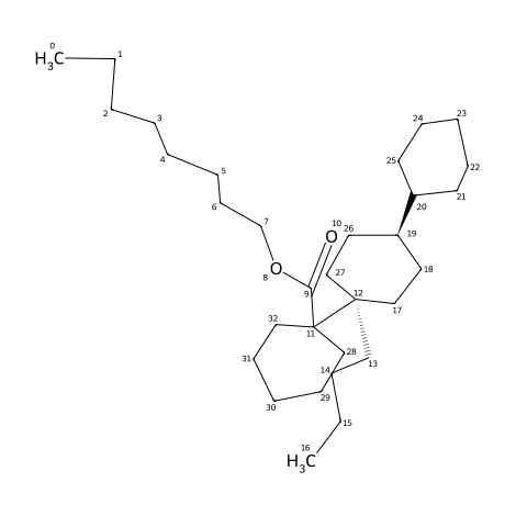 CCCCCCCCOC(=O)C1([C@]2(CCCC)CC[C@H](C3CCCCC3)CC2)CCCCC1